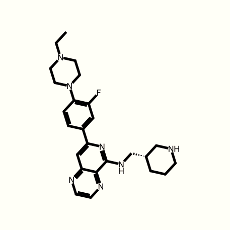 CCN1CCN(c2ccc(-c3cc4nccnc4c(NC[C@H]4CCCNC4)n3)cc2F)CC1